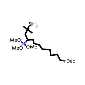 CCCCCCCCCCCCCCCCCCC(CC(C)(C)[SiH3])[N+](OC)(OC)OC